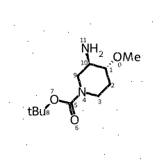 CO[C@@H]1CCN(C(=O)OC(C)(C)C)C[C@H]1N